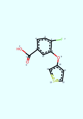 O=C(O)c1ccc(F)c(Oc2ccsc2)c1